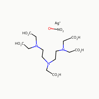 O=C(O)CN(CCN(CC(=O)O)CC(=O)O)CCN(CC(=O)O)CC(=O)O.O=[N+]([O-])[O-].[Ag+]